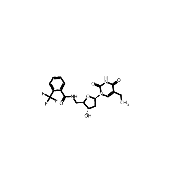 CCc1cn([C@H]2C[C@H](O)[C@@H](CNC(=O)c3ccccc3C(F)(F)F)O2)c(=O)[nH]c1=O